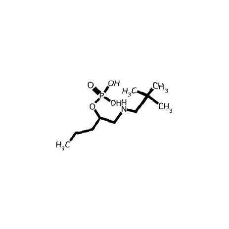 CCCC(CNCC(C)(C)C)OP(=O)(O)O